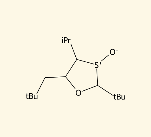 CC(C)C1C(CC(C)(C)C)OC(C(C)(C)C)[S+]1[O-]